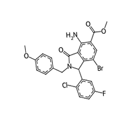 COC(=O)c1cc(Br)c2c(c1N)C(=O)N(Cc1ccc(OC)cc1)C2c1cc(F)ccc1Cl